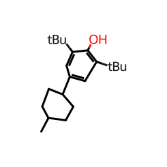 CC1CCC(c2cc(C(C)(C)C)c(O)c(C(C)(C)C)c2)CC1